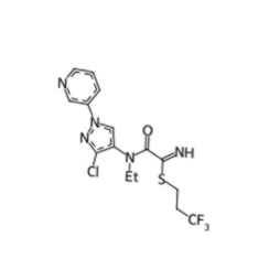 CCN(C(=O)C(=N)SCCC(F)(F)F)c1cn(-c2cccnc2)nc1Cl